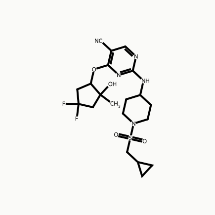 CC1(O)CC(F)(F)CC1Oc1nc(NC2CCN(S(=O)(=O)CC3CC3)CC2)ncc1C#N